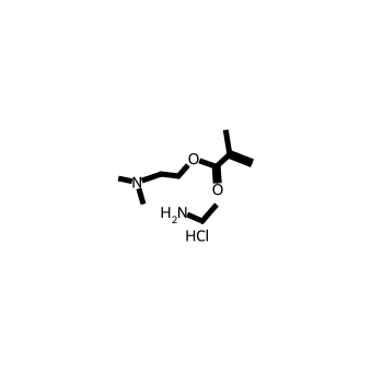 C=C(C)C(=O)OCCN(C)C.CCN.Cl